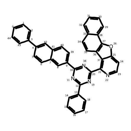 c1ccc(-c2ccc3cc(-c4nc(-c5ccccc5)nc(-c5nccc6oc7c8ccccc8ccc7c56)n4)ccc3c2)cc1